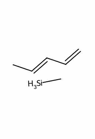 C=CC=CC.C[SiH3]